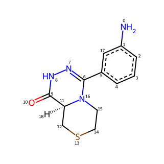 Nc1cccc(C2=NNC(=O)[C@@H]3CSCCN23)c1